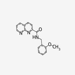 COc1ccccc1CNC(=O)c1ccc2cccnc2n1